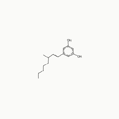 CCCCCC(C)CCc1cc(O)cc(O)c1